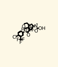 CN(C(=O)O)[C@@H]1C[C@]23CCO[C@@H]4[C@H]2[C@@H](C(=O)N4c2ccc(Cl)c(C(F)(F)F)c2)[C@@]1(C)O3